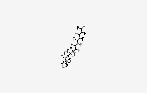 O=S(=O)([O-])C(F)C(F)(F)C(F)(F)C(F)(F)C(F)C(F)C(F)C(F)C(F)C(F)C(F)C(F)F.[Li+]